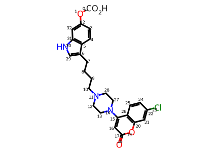 O=C(O)Oc1ccc2c(CCCCN3CCN(c4cc(=O)oc5cc(Cl)ccc45)CC3)c[nH]c2c1